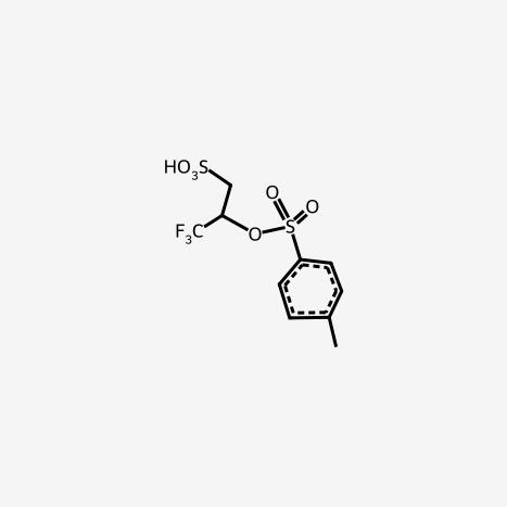 Cc1ccc(S(=O)(=O)OC(CS(=O)(=O)O)C(F)(F)F)cc1